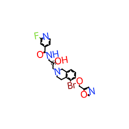 O=C(NC[C@H](O)CN1CCc2c(ccc(OCc3cnco3)c2Br)C1)c1ccnc(F)c1